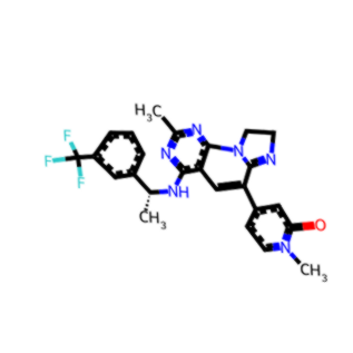 Cc1nc(N[C@H](C)c2cccc(C(F)(F)F)c2)c2c(n1)N1CCN=C1C(c1ccn(C)c(=O)c1)=C2